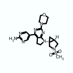 CS(=O)(=O)N1C[C@@H]2C[C@]2(N2CCc3c(-c4cnc(N)nc4)nc(N4CCOCC4)nc32)C1